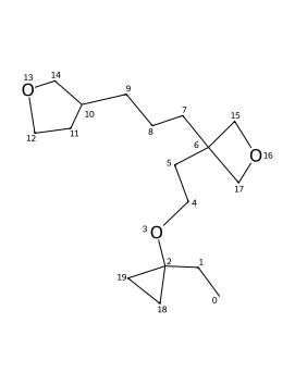 CCC1(OCCC2(CCCC3CCOC3)COC2)CC1